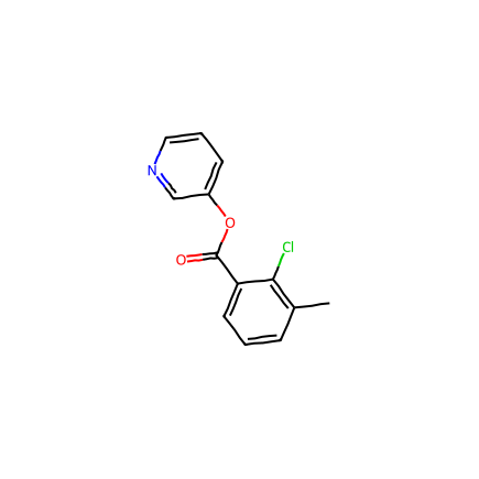 Cc1cccc(C(=O)Oc2cccnc2)c1Cl